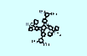 CC(C)(C)c1cc(-c2ccc3c4c5c6cc(C(C)(c7ccccc7)c7ccccc7)ccc6n6c7cc(-c8cc(C(C)(C)C)cc(C(C)(C)C)c8)ccc7c(c7c8cc(C(C)(c9ccccc9)c9ccccc9)ccc8n(c3c2)c74)c56)cc(C(C)(C)C)c1